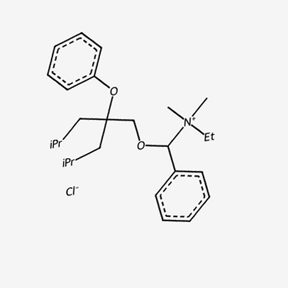 CC[N+](C)(C)C(OCC(CC(C)C)(CC(C)C)Oc1ccccc1)c1ccccc1.[Cl-]